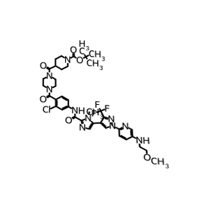 COCCNc1ccc(-n2cc(-c3cnc(C(=O)Nc4ccc(C(=O)N5CCN(C(=O)C6CCN(C(=O)OC(C)(C)C)CC6)CC5)c(Cl)c4)n3C)c(C(F)(F)F)n2)nc1